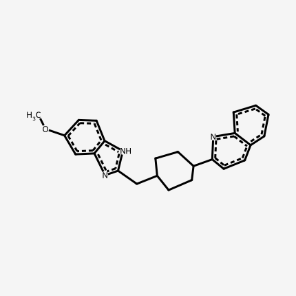 COc1ccc2[nH]c(CC3CCC(c4ccc5ccccc5n4)CC3)nc2c1